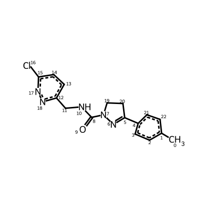 Cc1ccc(C2=NN(C(=O)NCc3ccc(Cl)nn3)CC2)cc1